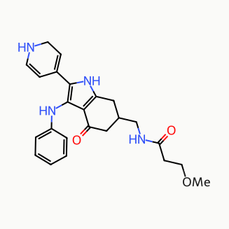 COCCC(=O)NCC1CC(=O)c2c([nH]c(C3=CCNC=C3)c2Nc2ccccc2)C1